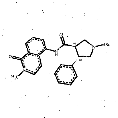 Cn1ccc2c(NC(=O)[C@H]3CN(C(C)(C)C)C[C@@H]3c3ccccc3)cccc2c1=O